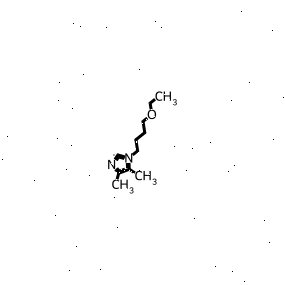 CCOCCCCn1[c]nc(C)c1C